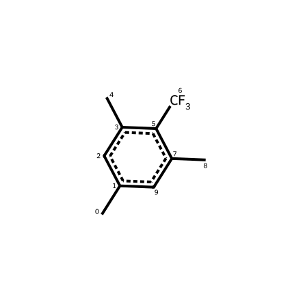 Cc1cc(C)c(C(F)(F)F)c(C)c1